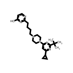 CC(C)(C)c1nc(C2CC2)cc(N2CCN(CCCCc3nccc(O)n3)CC2)n1